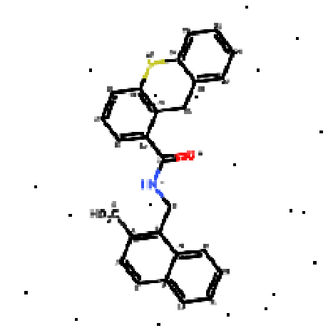 O=C(NCc1c(C(=O)O)ccc2ccccc12)c1cccc2c1Cc1ccccc1S2